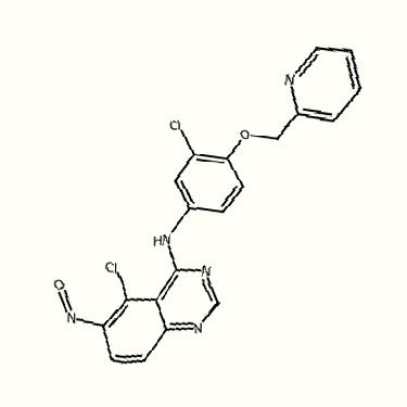 O=Nc1ccc2ncnc(Nc3ccc(OCc4ccccn4)c(Cl)c3)c2c1Cl